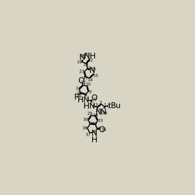 CC(C)(C)c1cc(NC(=O)Nc2ccc(Oc3ccnc(-c4cn[nH]c4)c3)cc2F)n(-c2ccc3c(c2)C(=O)NCC3)n1